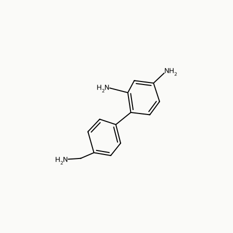 NCc1ccc(-c2ccc(N)cc2N)cc1